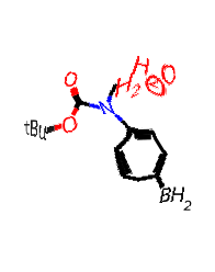 Bc1ccc(N(C)C(=O)OC(C)(C)C)cc1.O.O